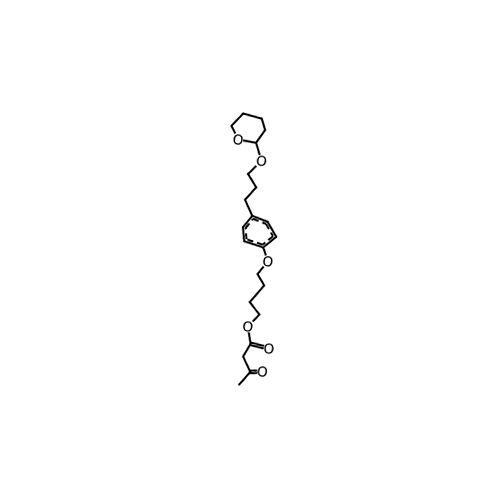 CC(=O)CC(=O)OCCCCOc1ccc(CCCOC2CCCCO2)cc1